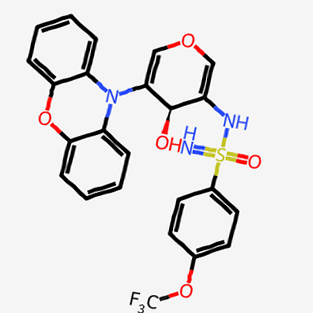 N=S(=O)(NC1=COC=C(N2c3ccccc3Oc3ccccc32)[C@@H]1O)c1ccc(OC(F)(F)F)cc1